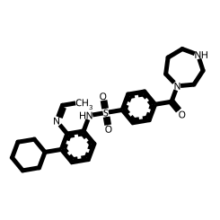 C/C=N\c1c(NS(=O)(=O)c2ccc(C(=O)N3CCCNCC3)cc2)cccc1C1CCCCC1